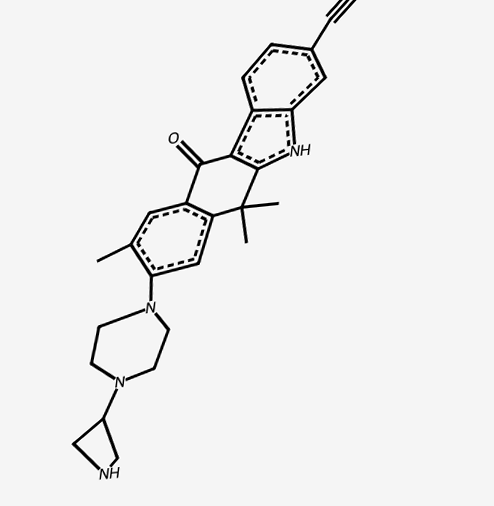 Cc1cc2c(cc1N1CCN(C3CNC3)CC1)C(C)(C)c1[nH]c3cc(C#N)ccc3c1C2=O